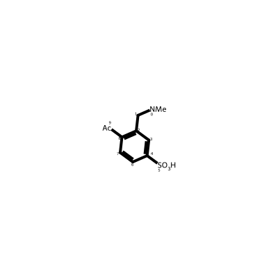 CNCc1cc(S(=O)(=O)O)ccc1C(C)=O